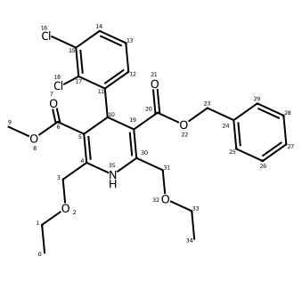 CCOCC1=C(C(=O)OC)C(c2cccc(Cl)c2Cl)C(C(=O)OCc2ccccc2)=C(COCC)N1